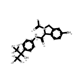 Bc1ccc2c(c1)CN(C(C)=O)C2C(=O)Nc1ccc(C(O)(C(F)(F)F)C(F)(F)F)cc1